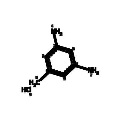 Cc1cc(N)cc(N)c1.Cl